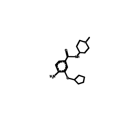 CN1CCC(NC(=O)c2ccc(N)c(OC3CCCC3)c2)CC1